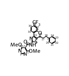 COc1ncnc(OC)c1C(=O)Nc1nc2c(s1)C(CCc1ccccc1)Oc1cc(C(F)(F)F)ccc1-2